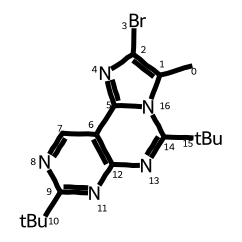 Cc1c(Br)nc2c3cnc(C(C)(C)C)nc3nc(C(C)(C)C)n12